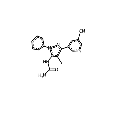 Cc1c(-c2cncc(C#N)c2)nn(-c2ccccc2)c1NC(N)=O